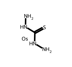 NNC(=S)NN.[Os]